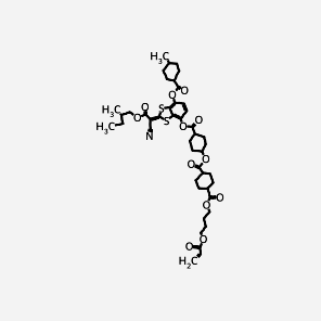 C=CC(=O)OCCCCOC(=O)C1CCC(C(=O)OC2CCC(C(=O)Oc3ccc(OC(=O)C4CCC(C)CC4)c4c3S/C(=C(\C#N)C(=O)OC[C@H](C)CC)S4)CC2)CC1